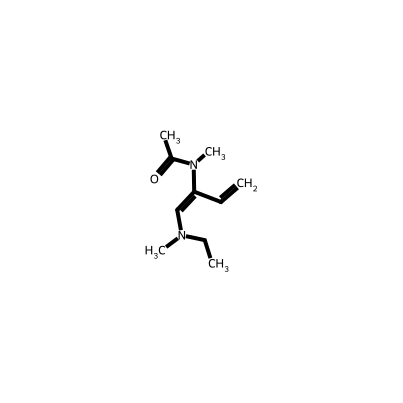 C=C/C(=C\N(C)CC)N(C)C(C)=O